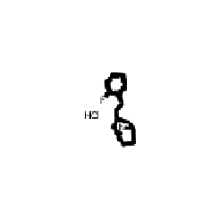 Cl.Fc1ccccc1CCC1CC2CCC(C1)N2